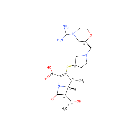 C[C@@H](O)[C@H]1C(=O)N2C(C(=O)O)=C(S[C@@H]3CCN(C[C@H]4CN(C(N)N)CCO4)C3)[C@H](C)[C@H]12